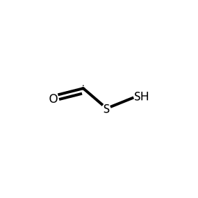 O=[C]SS